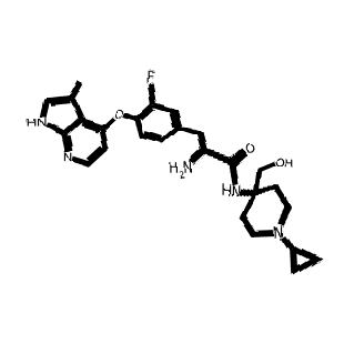 Cc1c[nH]c2nccc(Oc3ccc(CC(N)C(=O)NC4(CO)CCN(C5CC5)CC4)cc3F)c12